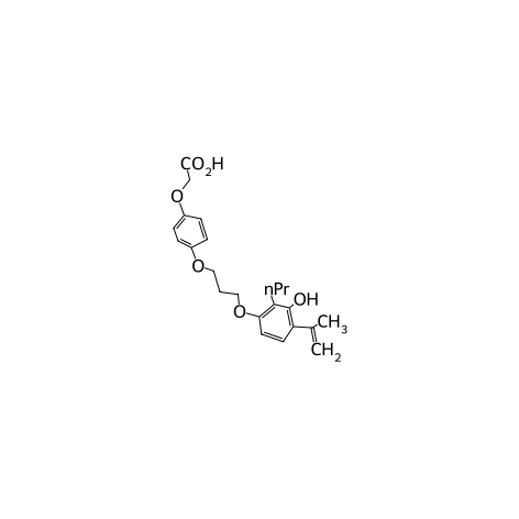 C=C(C)c1ccc(OCCCOc2ccc(OCC(=O)O)cc2)c(CCC)c1O